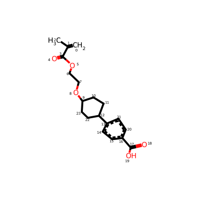 C=C(C)C(=O)OCCOC1CCC(c2ccc(C(=O)O)cc2)CC1